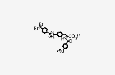 CCN(CC)c1ccc(-c2nc(-c3ccc(C[C@H](NC(=O)c4ccc(C(C)(C)C)cc4)C(=O)O)cc3)no2)cc1